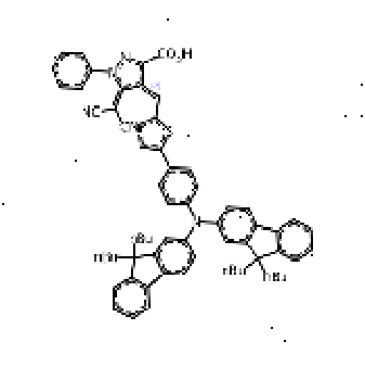 CCCCC1(CCCC)c2ccccc2-c2ccc(N(c3ccc(-c4ccc(/C=c5/c(C(=O)O)nn(-c6ccccc6)c5=C(C#N)C#N)s4)cc3)c3ccc4c(c3)C(CCCC)(CCCC)c3ccccc3-4)cc21